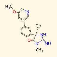 COc1cncc(-c2cccc(C3(C4CC4)NC(=N)N(C)C3=O)c2)c1